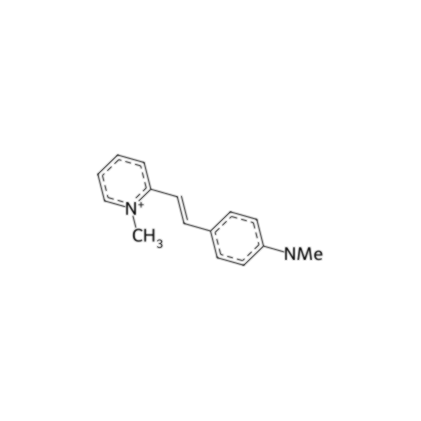 CNc1ccc(C=Cc2cccc[n+]2C)cc1